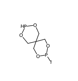 IP1OCC2(COPOC2)CO1